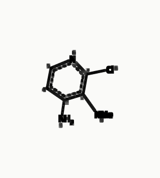 CNc1c(N)ccnc1Cl